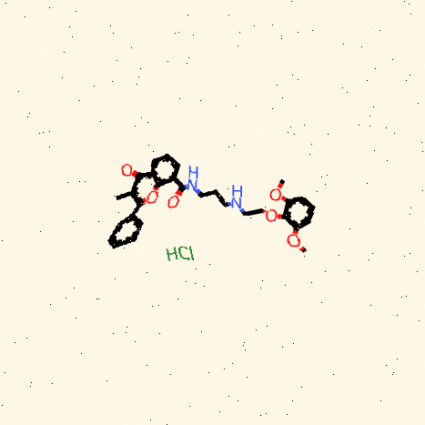 COc1cccc(OC)c1OCCNCCCNC(=O)c1cccc2c(=O)c(C)c(-c3ccccc3)oc12.Cl